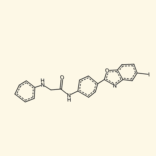 O=C(CNc1ccccc1)Nc1ccc(-c2nc3cc(I)ccc3o2)cc1